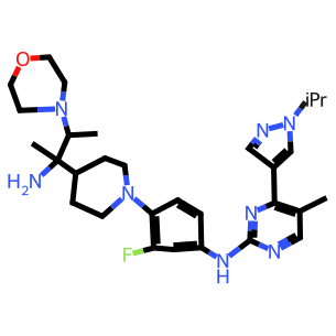 Cc1cnc(Nc2ccc(N3CCC(C(C)(N)C(C)N4CCOCC4)CC3)c(F)c2)nc1-c1cnn(C(C)C)c1